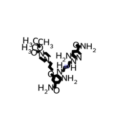 CC(C)(C)OC(=O)N1CCN(CCCOc2cc(C(N)=O)cc(N)c2NC/C=C/CNc2ncc(C(N)=O)cc2N)CC1